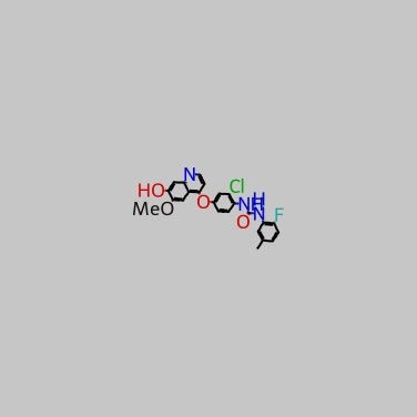 COc1cc2c(Oc3ccc(NC(=O)Nc4cc(C)ccc4F)c(Cl)c3)ccnc2cc1O